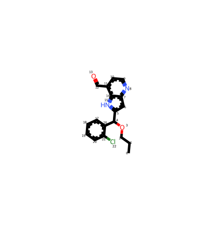 CCCOC(c1cc2nccc(C=O)c2[nH]1)c1ccccc1Cl